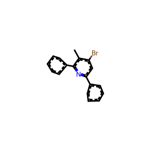 Cc1c(Br)cc(-c2ccccc2)nc1-c1ccccc1